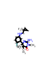 CN1C(=O)C(C)(C)C(C)(c2cc(NCC3(C(F)(F)F)CC3)ccc2F)N=C1N